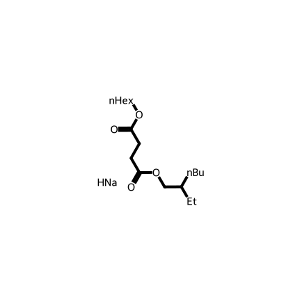 CCCCCCOC(=O)CCC(=O)OCC(CC)CCCC.[NaH]